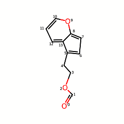 O=[C]OCCc1ccc2occcc1-2